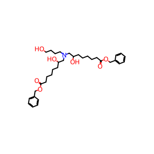 O=C(CCCCCC(O)CN(CCCCO)CC(O)CCCCCC(=O)OCc1ccccc1)OCc1ccccc1